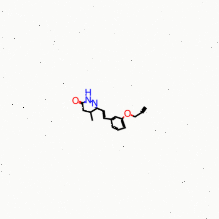 C#CCOc1cccc(C=CC2=NNC(=O)CC2C)c1